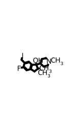 CN1CCC(C2(O)c3cc(CI)c(F)cc3CC2(C)C)CC1